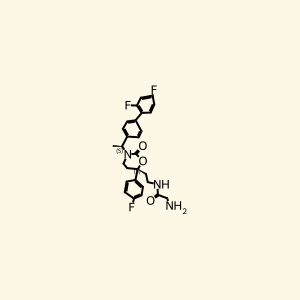 C[C@@H](c1ccc(-c2ccc(F)cc2F)cc1)N1CC[C@@](CCNC(=O)CN)(c2ccc(F)cc2)OC1=O